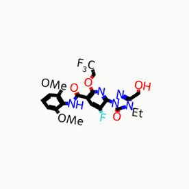 CCn1c(CO)nn(-c2nc(OCC(F)(F)F)c(C(=O)Nc3c(OC)cccc3OC)cc2F)c1=O